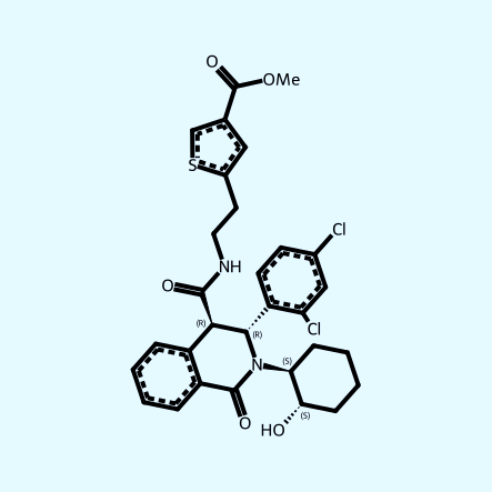 COC(=O)c1csc(CCNC(=O)[C@@H]2c3ccccc3C(=O)N([C@H]3CCCC[C@@H]3O)[C@H]2c2ccc(Cl)cc2Cl)c1